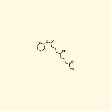 C=CC(=O)CCCC(O)CCCC(C)OC1CCCCO1